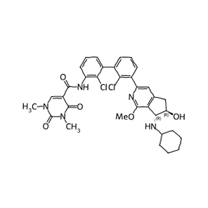 COc1nc(-c2cccc(-c3cccc(NC(=O)c4cn(C)c(=O)n(C)c4=O)c3Cl)c2Cl)cc2c1[C@@H](NC1CCCCC1)[C@H](O)C2